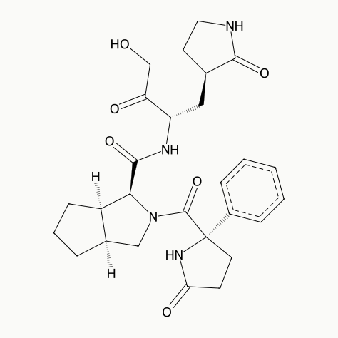 O=C1CC[C@@](C(=O)N2C[C@H]3CCC[C@H]3[C@H]2C(=O)N[C@@H](C[C@H]2CCNC2=O)C(=O)CO)(c2ccccc2)N1